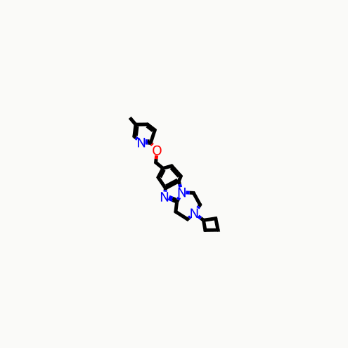 Cc1ccc(OCc2ccc3c(c2)nc2n3CCN(C3CCC3)CC2)nc1